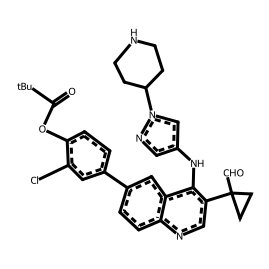 CC(C)(C)C(=O)Oc1ccc(-c2ccc3ncc(C4(C=O)CC4)c(Nc4cnn(C5CCNCC5)c4)c3c2)cc1Cl